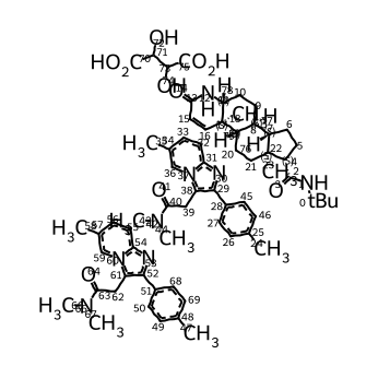 CC(C)(C)NC(=O)[C@H]1CC[C@H]2[C@@H]3CC[C@H]4NC(=O)C=C[C@]4(C)[C@H]3CC[C@]12C.Cc1ccc(-c2nc3ccc(C)cn3c2CC(=O)N(C)C)cc1.Cc1ccc(-c2nc3ccc(C)cn3c2CC(=O)N(C)C)cc1.O=C(O)C(O)C(O)C(=O)O